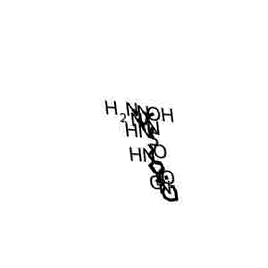 Nc1nc(O)c2nc(SCC(=O)Nc3ccc(S(=O)(=O)N4CCCCCC4)cc3)[nH]c2n1